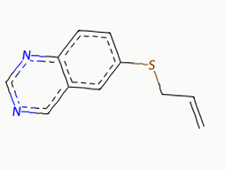 C=CCSc1ccc2ncncc2c1